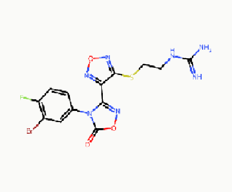 N=C(N)NCCSc1nonc1-c1noc(=O)n1-c1ccc(F)c(Br)c1